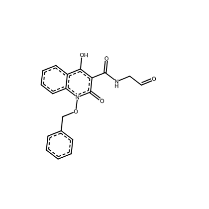 O=CCNC(=O)c1c(O)c2ccccc2n(OCc2ccccc2)c1=O